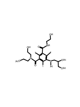 CC(=O)OCCN(CCO)C(=O)c1c(I)c(C(=O)NCCO)c(I)c(N(CC(COC(C)=O)OC(C)=O)C(C)=O)c1I